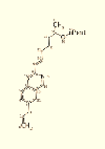 C=CCc1ccc2nc(C=CCCCC(C)OCCCCC)ncc2c1